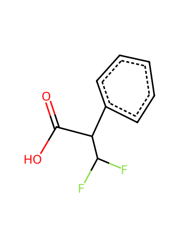 O=C(O)C(c1ccccc1)C(F)F